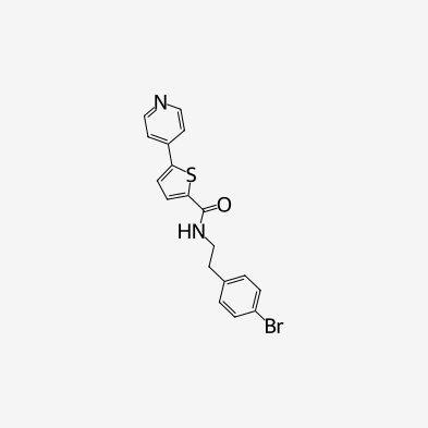 O=C(NCCc1ccc(Br)cc1)c1ccc(-c2ccncc2)s1